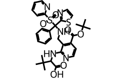 CC(C)(C)OC(=O)c1ccnc(NC(C(=O)O)C(C)(C)C)c1CNC(c1ccccc1)(c1nccs1)S(=O)(=O)c1ccccn1